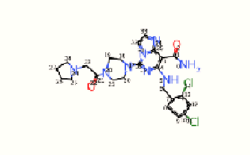 NC(=O)c1c(NCc2ccc(Cl)cc2Cl)nc(N2CCN(C(=O)CN3CCCC3)CC2)n2ccnc12